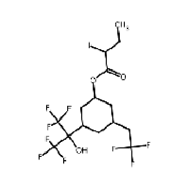 CCC(I)C(=O)OC1CC(CC(F)(F)F)CC(C(O)(C(F)(F)F)C(F)(F)F)C1